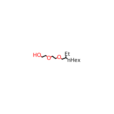 CCCCCCC(CC)COCCOCCO